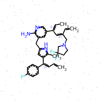 C=C/C=C(/c1ccc(F)cc1)c1cc(Cc2cc(C(/C=C(\C=C)CN3CCC(F)(F)C3)=C/C)cnc2N)[nH]c1C